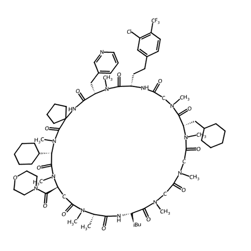 CC[C@H](C)[C@@H]1NC(=O)[C@H](C)N(C)C(=O)C[C@@H](C(=O)N2CCOCC2)N(C)C(=O)[C@H](C2CCCCC2)N(C)C(=O)C2(CCCC2)NC(=O)[C@H](Cc2cccnc2)N(C)C(=O)[C@H](CCc2ccc(C(F)(F)F)c(Cl)c2)NC(=O)CN(C)C(=O)[C@H](CC2CCCCC2)N(C)C(=O)CN(C)C(=O)CN(C)C1=O